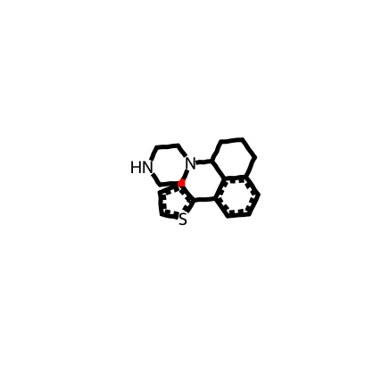 c1csc(-c2cccc3c2C(N2CCNCC2)CCC3)c1